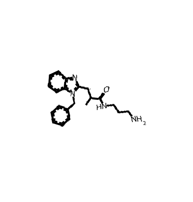 CC([CH]c1nc2ccccc2n1Cc1ccccc1)C(=O)NCCCN